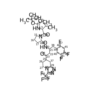 CC(C)C(NC(=O)OC(C)(C)C)C(=O)N1CCCC1ONC(CC(=O)C1CCn2c(nnc2C(F)(F)F)C1)Cc1cc(F)c(F)cc1F